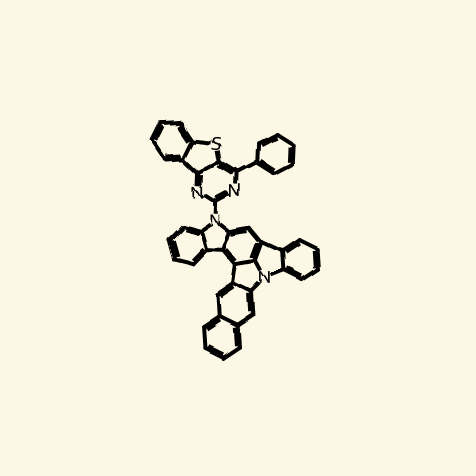 c1ccc(-c2nc(-n3c4ccccc4c4c5c6cc7ccccc7cc6n6c7ccccc7c(cc43)c56)nc3c2sc2ccccc23)cc1